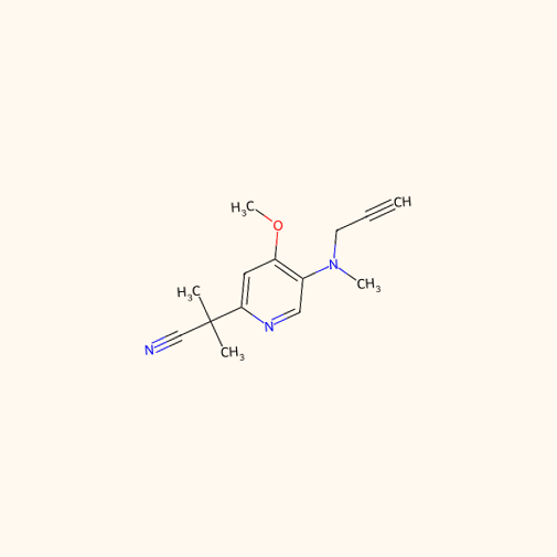 C#CCN(C)c1cnc(C(C)(C)C#N)cc1OC